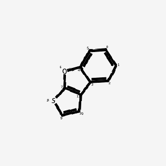 c1ccc2c(c1)oc1sccc12